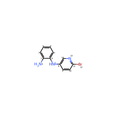 Nc1ccccc1Nc1ccc(Br)nc1